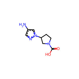 Nc1cnn(C2CCN(C(=O)O)C2)c1